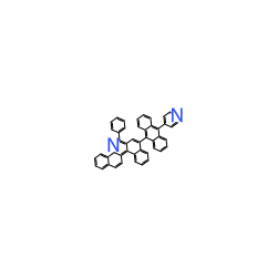 c1ccc(-c2nc3c4ccccc4ccc3c3c2cc(-c2c4ccccc4c(-c4ccncc4)c4ccccc24)c2ccccc23)cc1